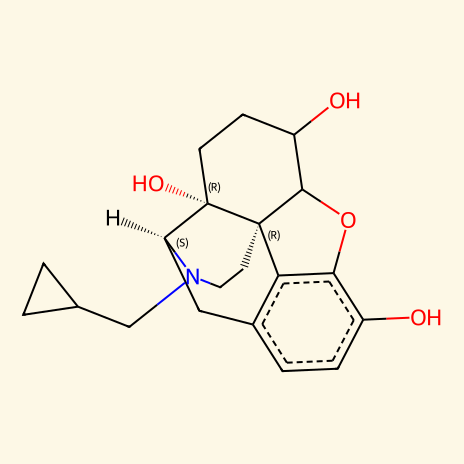 Oc1ccc2c3c1OC1C(O)CC[C@]4(O)[C@H](C2)N(CC2CC2)CC[C@@]314